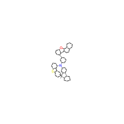 CC1(C)c2ccccc2-c2ccc(N(c3cccc(-c4cccc5oc6c7ccccc7ccc6c45)c3)c3cccc4sc5ccccc5c34)cc21